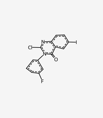 O=c1c2cc(I)ccc2nc(Cl)n1-c1cccc(F)c1